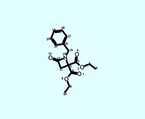 CCOC(=O)C1(C(=O)OCC)CC(=O)N1Cc1ccccc1